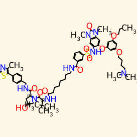 CCCOc1cc(OCCCCN(C)C)cc(Oc2cc3c(cc2NS(=O)(=O)c2cccc(C(=O)NCCCCCCCC(=O)N[C@H](C(=O)N4C[C@H](O)C[C@H]4C(=O)NCc4ccc(-c5scnc5C)cc4)C(C)(C)C)c2)n(C)c(=O)n3C)c1